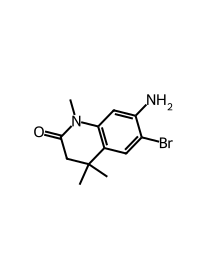 CN1C(=O)CC(C)(C)c2cc(Br)c(N)cc21